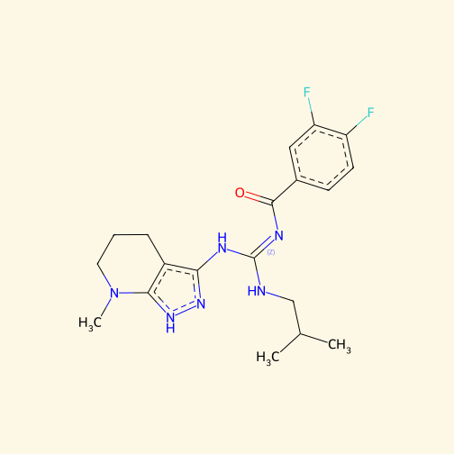 CC(C)CN/C(=N/C(=O)c1ccc(F)c(F)c1)Nc1n[nH]c2c1CCCN2C